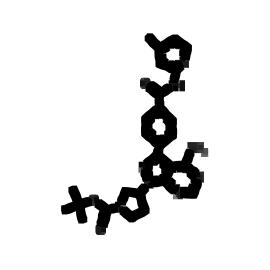 Cc1ccnc(NC(=O)c2ccc(-c3nn(C4CCN(C(=O)OC(C)(C)C)C4)c4ncnc(N)c34)cc2)c1